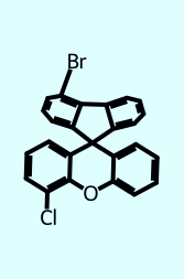 Clc1cccc2c1Oc1ccccc1C21c2ccccc2-c2c(Br)cccc21